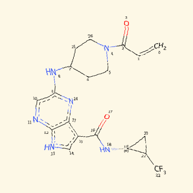 C=CC(=O)N1CCC(Nc2cnc3[nH]cc(C(=O)N[C@@H]4CC4C(F)(F)F)c3n2)CC1